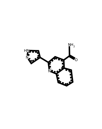 NC(=O)c1cc(-c2cn[nH]c2)nc2ccccc12